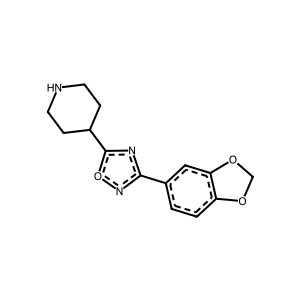 c1cc2c(cc1-c1noc(C3CCNCC3)n1)OCO2